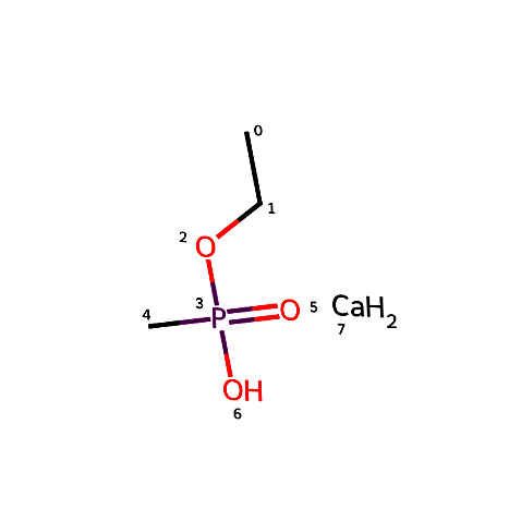 CCOP(C)(=O)O.[CaH2]